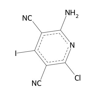 N#Cc1c(N)nc(Cl)c(C#N)c1I